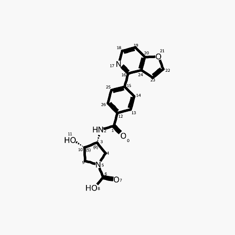 O=C(N[C@@H]1CN(C(=O)O)C[C@@H]1O)c1ccc(-c2nccc3occc23)cc1